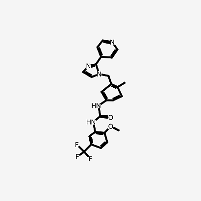 COc1ccc(C(F)(F)F)cc1NC(=O)Nc1ccc(C)c(Cn2ccnc2-c2ccncc2)c1